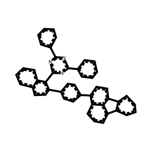 c1ccc(-c2nc(-c3ccccc3)nc(-c3c(-c4ccc(-c5ccc6c7c(cccc57)-c5ccccc5-6)cc4)ccc4ccccc34)n2)cc1